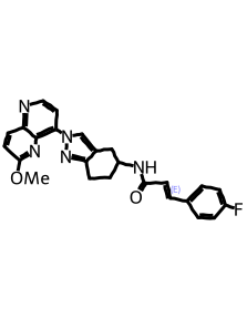 COc1ccc2nccc(-n3cc4c(n3)CCC(NC(=O)/C=C/c3ccc(F)cc3)C4)c2n1